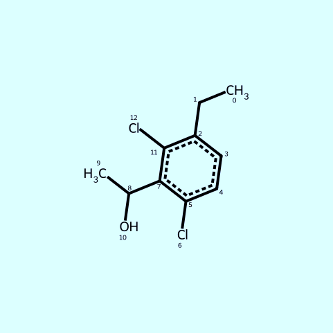 CCc1ccc(Cl)c(C(C)O)c1Cl